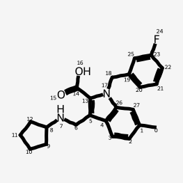 Cc1ccc2c(CNC3CCCC3)c(C(=O)O)n(Cc3cccc(F)c3)c2c1